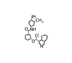 Cc1cc(NC(=O)c2cccc(OC(Cl)c3cncc4ccccc34)c2)ccc1C(C)C